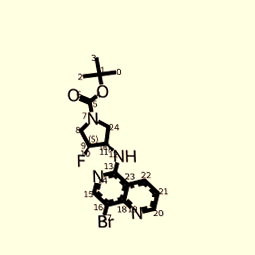 CC(C)(C)OC(=O)N1C[C@H](F)[C@H](Nc2ncc(Br)c3ncccc23)C1